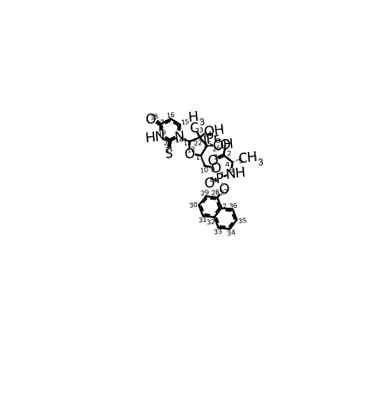 CC(C)OC(=O)[C@H](C)NP(=O)(OC[C@H]1O[C@@H](n2ccc(=O)[nH]c2=S)C(C)(O)[C@H]1O)Oc1cccc2ccccc12